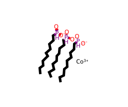 CCCCCCCCCC[PH](=O)[O-].CCCCCCCCCC[PH](=O)[O-].CCCCCCCCCC[PH](=O)[O-].[Co+3]